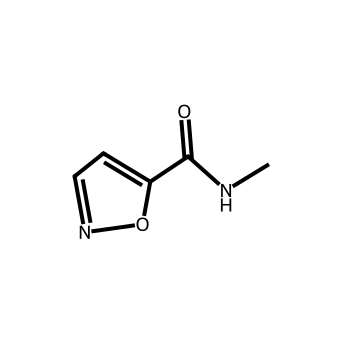 CNC(=O)c1ccno1